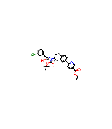 CCOC(=O)c1ccc(-c2ccc3c(c2)C[C@@H](N(C[C@@H](O)c2cccc(Cl)c2)C(=O)OC(C)(C)C)CC3)nc1